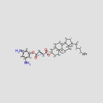 CC(C)CCCC(C)C1CCC2C3CCC4CC(OC(=O)/C=C/C(=O)Oc5cc(N)cc(N)c5)CCC4(C)C3CCC12C